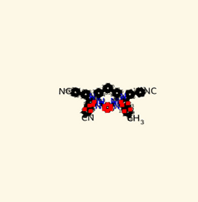 [C-]#[N+]c1ccc(-c2ccc3c(c2)c2cc(-c4ccc(C)cc4)ccc2n3-c2ccc(-c3cccc(-c4ccc(-n5c6ccc(-c7ccc(C#N)cc7)cc6c6cc(-c7ccc(C#N)cc7)ccc65)c(-c5nc(-c6ccccc6)nc(-c6ccccc6)n5)c4)c3)cc2-c2nc(-c3ccccc3)nc(-c3ccccc3)n2)cc1